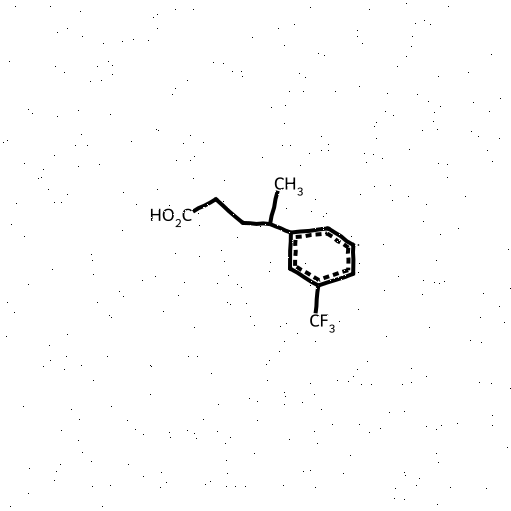 CC(CCC(=O)O)c1c[c]cc(C(F)(F)F)c1